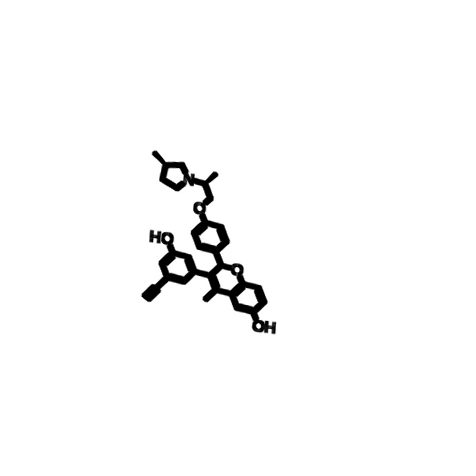 C#Cc1cc(O)cc(C2=C(C)c3cc(O)ccc3OC2c2ccc(OC[C@H](C)N3CC[C@@H](C)C3)cc2)c1